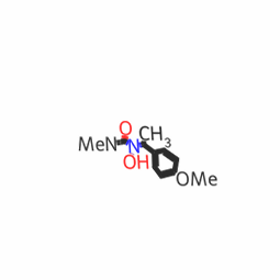 CNC(=O)N(O)C(C)c1ccc(OC)cc1